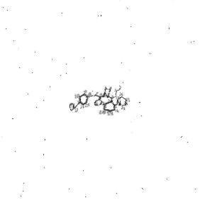 CCCC(NC(=O)Cc1ccc(C=O)cc1)c1ccccc1N1CCCCC1